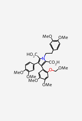 COCOc1cc(OC)c(OC)cc1-c1c(-c2ccc(OC)c(OC)c2)c(C(=O)O)n(CCc2ccc(OC)c(OC)c2)c1C(=O)O